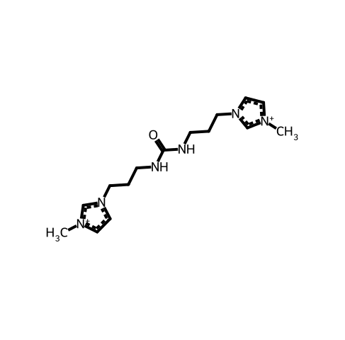 C[n+]1ccn(CCCNC(=O)NCCCn2cc[n+](C)c2)c1